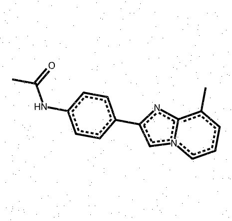 CC(=O)Nc1ccc(-c2cn3cccc(C)c3n2)cc1